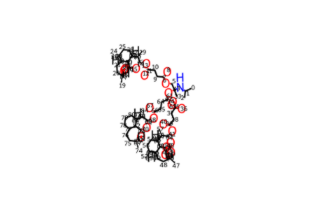 CC(C)NC(COC(=O)CCC(=O)O[C@@H]1O[C@@H]2O[C@@]3(C)CC[C@H]4[C@H](C)CC[C@@H]([C@H]1C)[C@@]24OO3)(COC(=O)CCC(=O)O[C@@H]1O[C@@H]2O[C@@]3(C)CC[C@H]4[C@H](C)CC[C@@H]([C@H]1C)[C@@]24OO3)OC(=O)CCC(=O)O[C@@H]1O[C@@H]2O[C@@H](C)CCC3CCC[C@H](C32)[C@H]1C